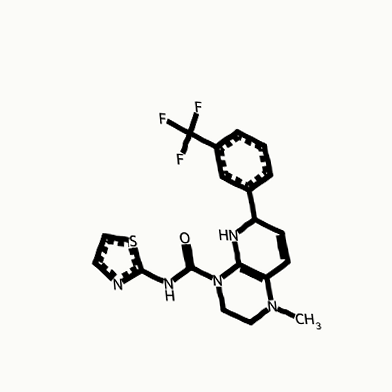 CN1CCN(C(=O)Nc2nccs2)C2=C1C=CC(c1cccc(C(F)(F)F)c1)N2